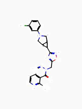 C=NN(Cc1nc(C2C3CN(c4cccc(F)c4)CC32)no1)C(=O)c1cccnc1C